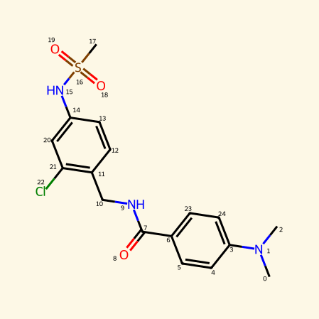 CN(C)c1ccc(C(=O)NCc2ccc(NS(C)(=O)=O)cc2Cl)cc1